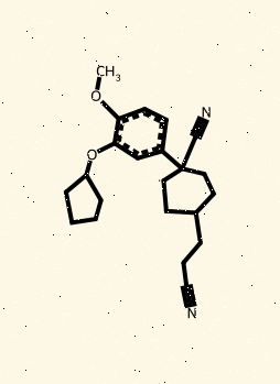 COc1ccc(C2(C#N)[CH]CC(CCC#N)CC2)cc1OC1CCCC1